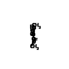 C=CCCOc1ccc(C2CCC(OCc3ccc(C)c(F)c3F)OC2)cc1F